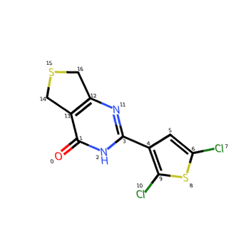 O=c1[nH]c(-c2cc(Cl)sc2Cl)nc2c1CSC2